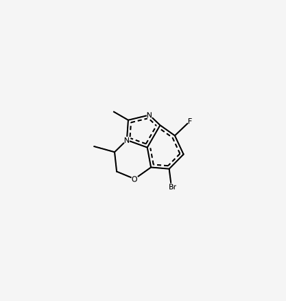 Cc1nc2c(F)cc(Br)c3c2n1C(C)CO3